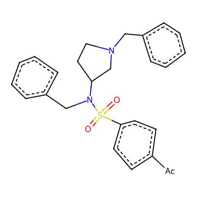 CC(=O)c1ccc(S(=O)(=O)N(Cc2ccccc2)C2CCN(Cc3ccccc3)C2)cc1